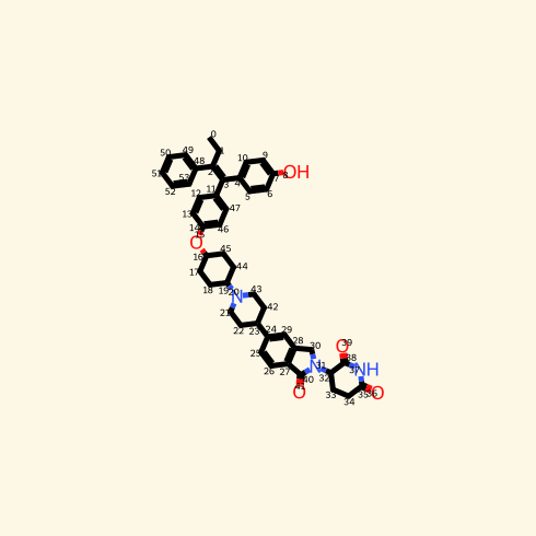 CC/C(=C(\c1ccc(O)cc1)c1ccc(OC2CCC(N3CCC(c4ccc5c(c4)CN(C4CCC(=O)NC4=O)C5=O)CC3)CC2)cc1)c1ccccc1